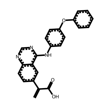 C=C(C(=O)O)c1ccc2ncnc(Nc3ccc(Oc4ccccc4)cc3)c2c1